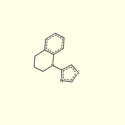 c1ccc2c(c1)CCCN2c1cscn1